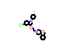 Fc1ccc(-n2cc(OCCN3CCC4(CC3)OCc3ccccc34)c3cc(Cl)ccc32)cc1